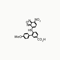 COc1ccc(-c2cc(C(=O)O)ccc2Nc2ccc([N+](=O)[O-])c3nonc23)cc1